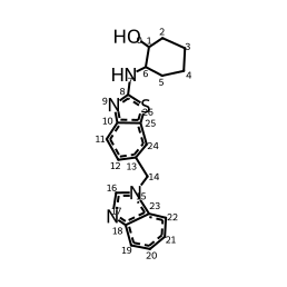 OC1CCCCC1Nc1nc2ccc(Cn3cnc4ccccc43)cc2s1